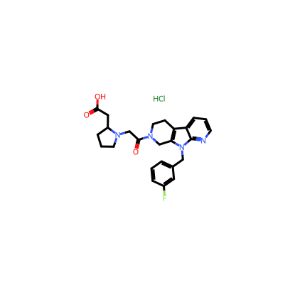 Cl.O=C(O)CC1CCCN1CC(=O)N1CCc2c(n(Cc3cccc(F)c3)c3ncccc23)C1